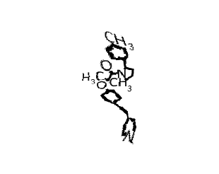 Cc1ccc(C2CCCN2C(=O)C(C)(C)Oc2ccc(C#Cc3ccncc3)cc2)cc1